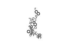 CCOC(=O)c1[nH]c2c(-c3c(CN(CCC(F)(F)COS(=O)(=O)C(F)(F)F)S(=O)(=O)c4ccccc4[N+](=O)[O-])nn(C)c3CC)c(Cl)ccc2c1CCCOc1cccc2cc(F)ccc12